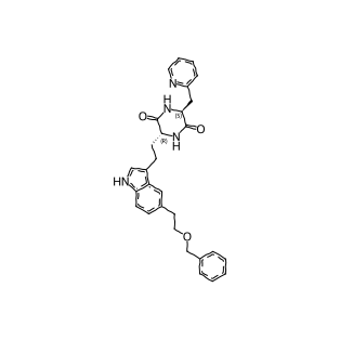 O=C1N[C@H](CCc2c[nH]c3ccc(CCOCc4ccccc4)cc23)C(=O)N[C@H]1Cc1ccccn1